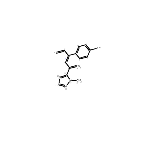 C=C(/C=C(/C=O)c1ccc(F)cc1)c1nnnn1C